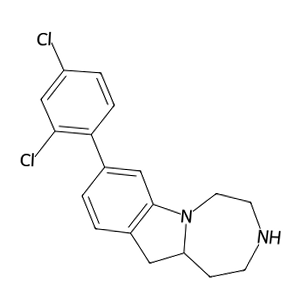 Clc1ccc(-c2ccc3c(c2)N2CCNCCC2C3)c(Cl)c1